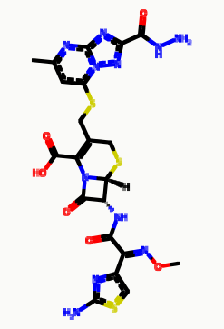 CON=C(C(=O)N[C@@H]1C(=O)N2C(C(=O)O)=C(CSc3cc(C)nc4nc(C(=O)NN)nn34)CS[C@H]12)c1csc(N)n1